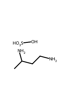 CC(N)CCN.O=S(=O)(O)O